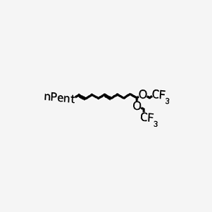 CCCCC/C=C/CC/C=C/CCCC(OCC(F)(F)F)OCC(F)(F)F